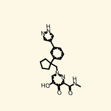 CNC(=O)c1nn(CC2(c3cccc(-c4cn[nH]c4)c3)CCCC2)cc(O)c1=O